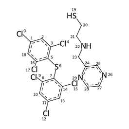 Clc1cc(Cl)c(Sc2c(Cl)cc(Cl)cc2Cl)c(Cl)c1.SCCNCc1cnccn1